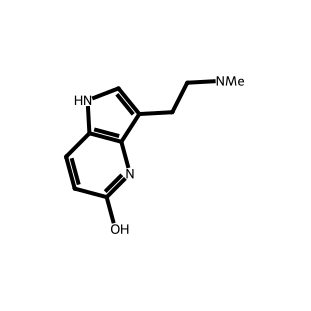 CNCCc1c[nH]c2ccc(O)nc12